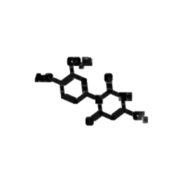 CCOC(=O)c1cc(-n2c(=O)cc(C(F)(F)F)[nH]c2=O)ccc1OC(C)=O